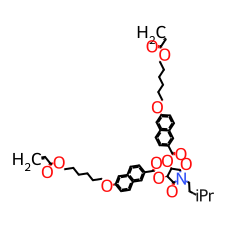 C=CC(=O)OCCCCCCOc1ccc2cc(C(=O)O[C@H]3C(=O)N(CCC(C)C)C(=O)[C@@H]3OC(=O)c3ccc4cc(OCCCCCCOC(=O)C=C)ccc4c3)ccc2c1